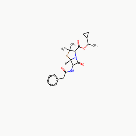 CC(OC(=O)C1N2C(=O)C(NC(=O)Cc3ccccc3)[C@@H]2SC1(C)C)C1CC1